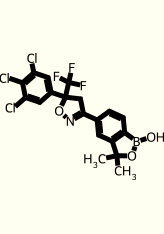 CC1(C)OB(O)c2ccc(C3=NOC(c4cc(Cl)c(Cl)c(Cl)c4)(C(F)(F)F)C3)cc21